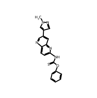 Cn1cc(-c2cnc3ccc(NC(=S)Oc4ccccc4)nc3c2)cn1